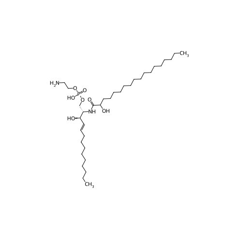 CCCCCCCCC/C=C/[C@@H](O)[C@H](COP(=O)(O)OCCN)NC(=O)C(O)CCCCCCCCCCCCCCCC